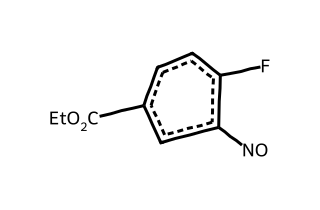 CCOC(=O)c1ccc(F)c(N=O)c1